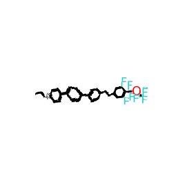 CCC[C@@H]1C=CC(c2ccc(-c3ccc(CCc4cc(F)c(C(F)(F)OC(F)(F)F)c(F)c4)cc3)cc2)=CC1